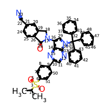 CC(C)S(=O)(=O)c1ccc(-c2cnc3c(n2)c(N2Cc4cc(C#N)ccc4C2=O)cn3C(c2ccccc2)(c2ccccc2)c2ccccc2)cc1